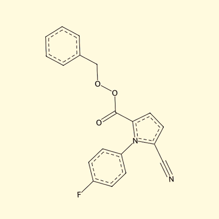 N#Cc1ccc(C(=O)OOCc2ccccc2)n1-c1ccc(F)cc1